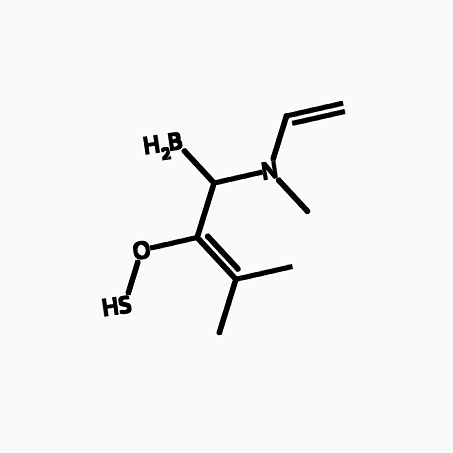 BC(C(OS)=C(C)C)N(C)C=C